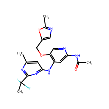 CC(=O)Nc1cc(Nc2cc(C)nc(C(C)(F)F)n2)c(OCc2cnc(C)o2)cn1